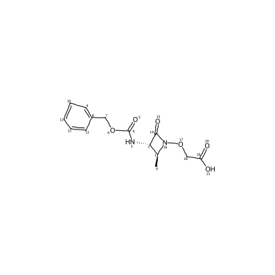 C[C@H]1[C@H](NC(=O)OCc2ccccc2)C(=O)N1OCC(=O)O